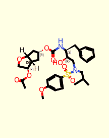 COc1ccc(S(=O)(=O)N(CC(C)C)C[C@@H](O)[C@H](Cc2ccccc2)NC(=O)O[C@@H]2C[C@@H]3[C@@H](OC(C)=O)CO[C@@H]3C2)cc1